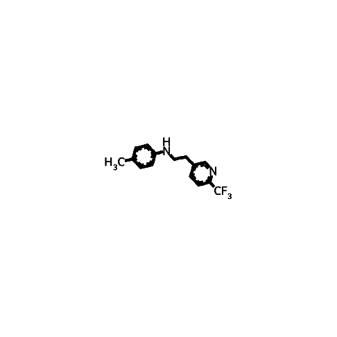 Cc1ccc(NCCc2ccc(C(F)(F)F)nc2)cc1